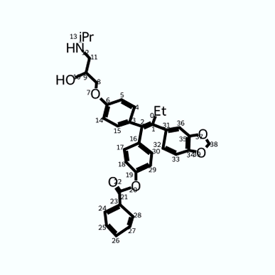 CCC(=C(c1ccc(OCC(O)CNC(C)C)cc1)c1ccc(OC(=O)c2ccccc2)cc1)c1ccc2c(c1)OCO2